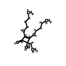 CCCCOC1=C(OCCCC)C(O)(CC)C1=O